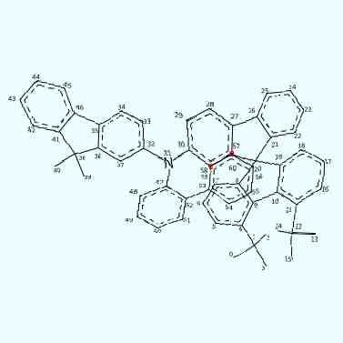 CC(C)(C)c1cccc2c1-c1c(C(C)(C)C)cccc1C21c2ccccc2-c2ccc(N(c3ccc4c(c3)C(C)(C)c3ccccc3-4)c3ccccc3-c3ccccc3)cc21